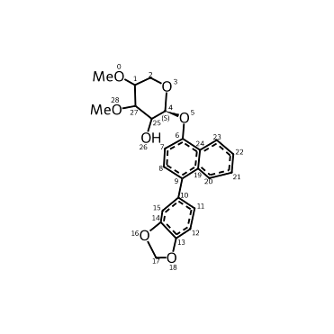 COC1CO[C@@H](Oc2ccc(-c3ccc4c(c3)OCO4)c3ccccc23)C(O)C1OC